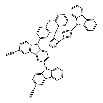 N#Cc1ccc2c(c1)c1ccccc1n2-c1ccc2c(c1)c1cc(C#N)ccc1n2-c1ccc2c(c1)C1(c3ccccc3O2)c2cccnc2-c2ncc(-n3c4ccccc4c4ccccc43)cc21